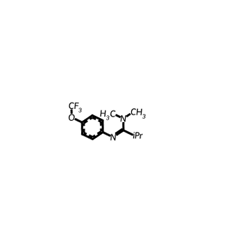 CC(C)/C(=N/c1ccc(OC(F)(F)F)cc1)N(C)C